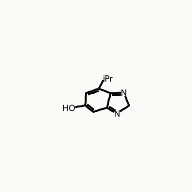 CC(C)c1cc(O)cc2c1=NCN=2